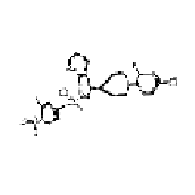 Cc1cc(S(=O)(=O)n2cc(C3CCN(c4ccc(Cl)cc4F)CC3)c3cccnc32)ccc1[SH](=O)=O